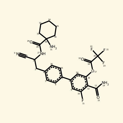 N#CC(Cc1ccc(-c2cc(F)c(C(N)=O)c(OC(=O)C(F)(F)F)c2)cc1)NC(=O)C1(N)CCCCC1